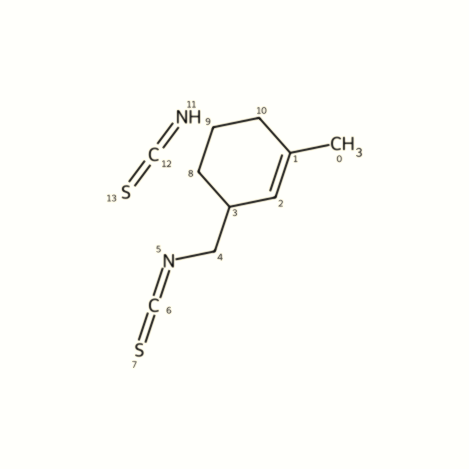 CC1=CC(CN=C=S)CCC1.N=C=S